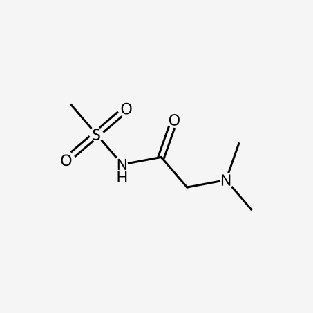 CN(C)CC(=O)NS(C)(=O)=O